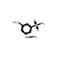 CC(C)(C)N.NS(=O)(=O)c1cccc(S(=O)(=O)O)c1